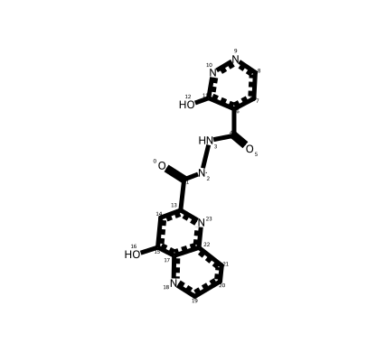 O=C([N]NC(=O)c1ccnnc1O)c1cc(O)c2ncccc2n1